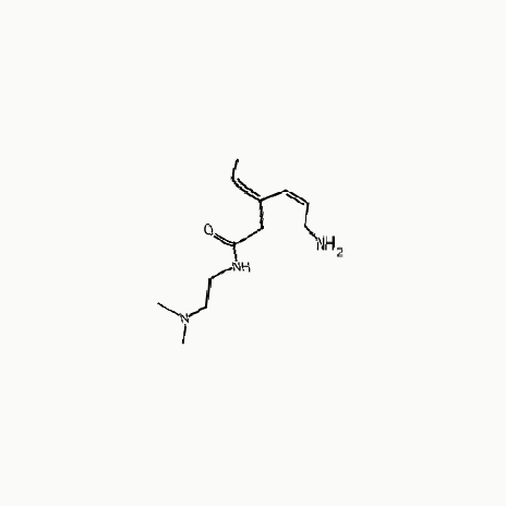 C/C=C(\C=C/CN)CC(=O)NCCN(C)C